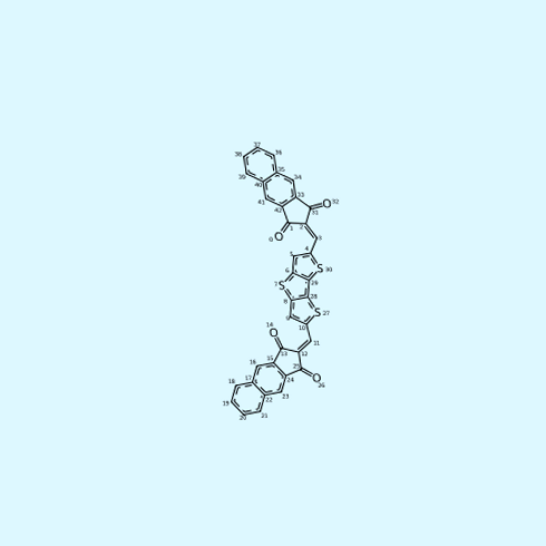 O=C1C(=Cc2cc3sc4cc(C=C5C(=O)c6cc7ccccc7cc6C5=O)sc4c3s2)C(=O)c2cc3ccccc3cc21